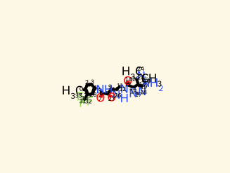 Cc1ccc(NC(=O)c2cc(CNC(=O)c3ncnc(N)c3CN(C)C)no2)cc1C(F)(F)F